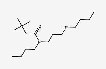 CCCCNCCCN(CCCC)C(=O)CC(C)(C)C